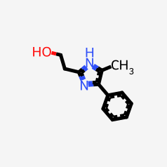 Cc1[nH]c(CCO)nc1-c1ccccc1